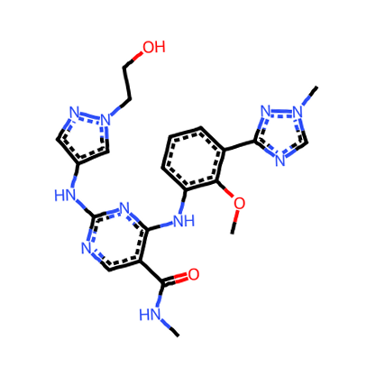 CNC(=O)c1cnc(Nc2cnn(CCO)c2)nc1Nc1cccc(-c2ncn(C)n2)c1OC